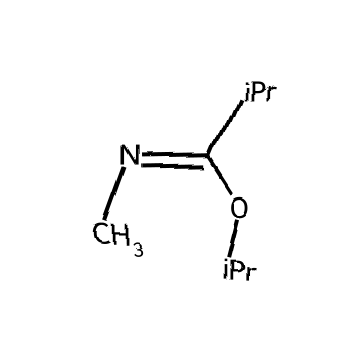 C/N=C(\OC(C)C)C(C)C